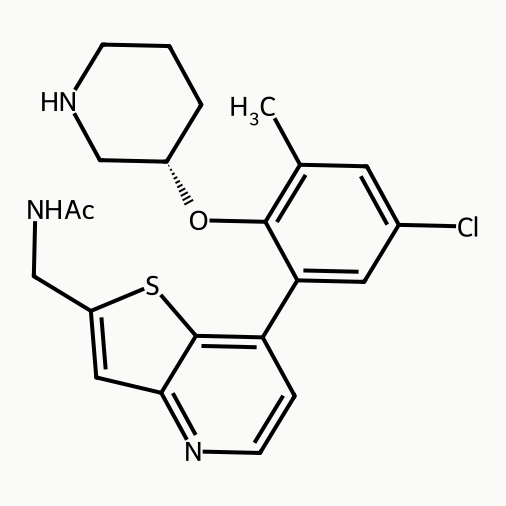 CC(=O)NCc1cc2nccc(-c3cc(Cl)cc(C)c3O[C@H]3CCCNC3)c2s1